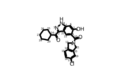 O=C(c1n[nH]c2cc(O)c(C(=O)N3Cc4ccc(Cl)cc4C3)cc12)C1CCCCC1